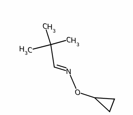 CC(C)(C)C=NOC1CC1